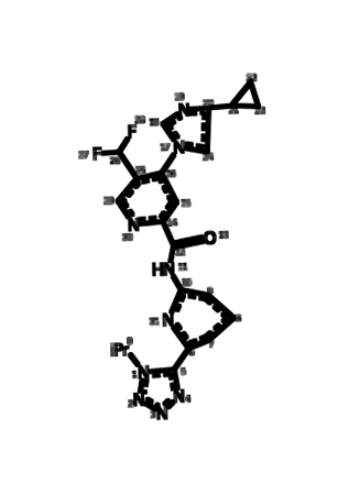 CC(C)n1nnnc1-c1cccc(NC(=O)c2cc(-n3cnc(C4CC4)c3)c(C(F)F)cn2)n1